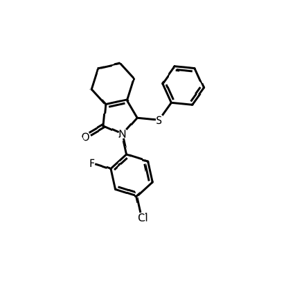 O=C1C2=C(CCCC2)C(Sc2ccccc2)N1c1ccc(Cl)cc1F